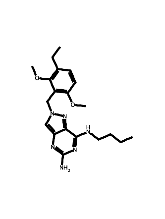 CCCCNc1nc(N)nc2cn(Cc3c(OC)ccc(CC)c3OC)nc12